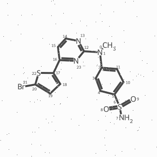 CN(c1ccc(S(N)(=O)=O)cc1)c1nccc(-c2ccc(Br)s2)n1